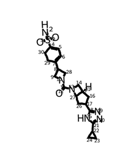 NS(=O)(=O)C1=CC=C(C2CN(C(=O)N3C[C@@H]4CC(c5nnc(C6CC6)[nH]5)CC43)C2)CC1